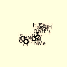 CNc1cc(Nc2cccc3c2CCCO3)nc2c(C(=O)NCC(C)(C)CO)cnn12